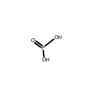 O=[P](O)O